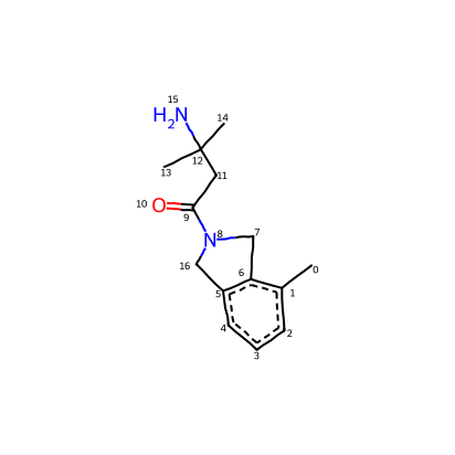 Cc1cccc2c1CN(C(=O)CC(C)(C)N)C2